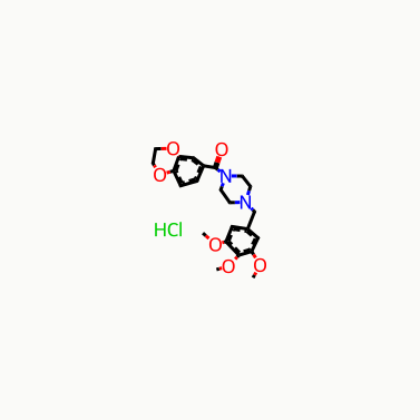 COc1cc(CN2CCN(C(=O)c3ccc4c(c3)OCCO4)CC2)cc(OC)c1OC.Cl